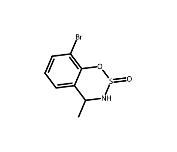 CC1NS(=O)Oc2c(Br)cccc21